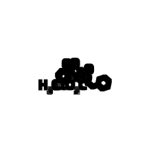 CCOC(=O)C(CC1CCCCC1)CP(=O)(COS(=O)(=O)c1ccc(C)cc1)OCC